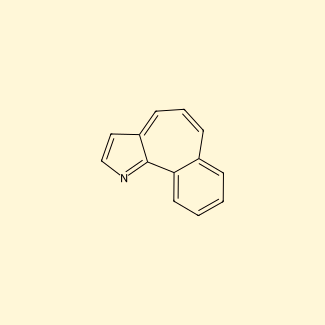 c1ccc2c3nccc-3cccc2c1